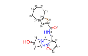 O=C(NCC1(CN2CCC(O)C2)CC=CON1)c1cc2c(s1)CCCCCC2